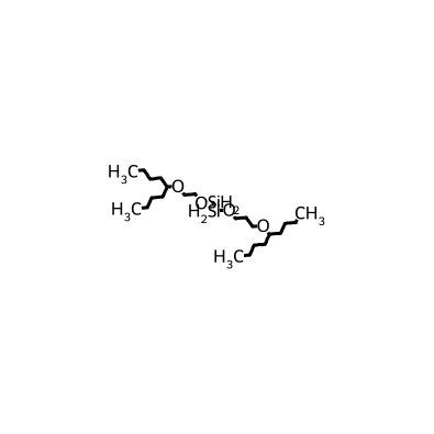 CCCCC(CCCC)OCCCO[SiH2][SiH2]OCCOC(CCCC)CCCC